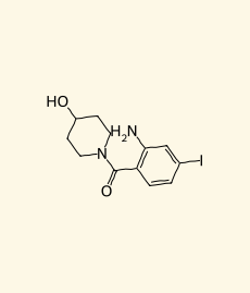 Nc1cc(I)ccc1C(=O)N1CCC(O)CC1